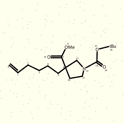 C=CCCCCC1(C(=O)OC)CCN(C(=O)OC(C)(C)C)C1